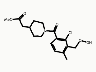 COC(=O)CC1CCN(C(=O)c2ccc(C)c(COO)c2Cl)CC1